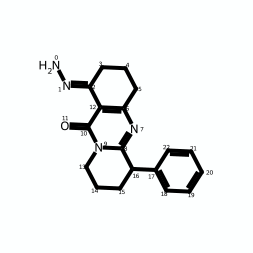 NN=C1CCCc2nc3n(c(=O)c21)CCCC3c1ccccc1